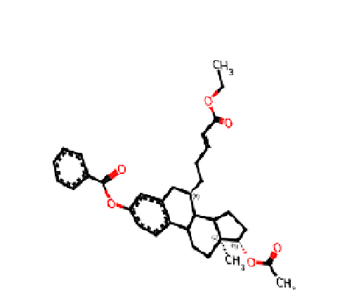 CCOC(=O)C=CCC[C@@H]1Cc2cc(OC(=O)c3ccccc3)ccc2C2CC[C@@]3(C)C(CC[C@@H]3OC(C)=O)C21